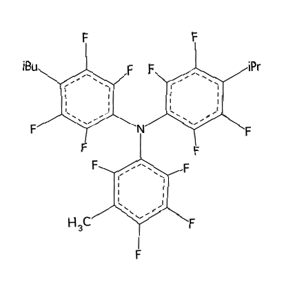 CCC(C)c1c(F)c(F)c(N(c2c(F)c(C)c(F)c(F)c2F)c2c(F)c(F)c(C(C)C)c(F)c2F)c(F)c1F